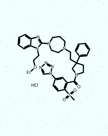 CCOCCn1c(N2CCCN(CCC3(c4ccccc4)CCN(C(=O)c4cc(-n5cnnn5)ccc4S(C)(=O)=O)C3)CC2)nc2ccccc21.Cl